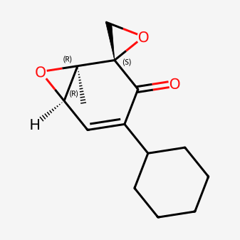 C[C@@]12O[C@@H]1C=C(C1CCCCC1)C(=O)[C@]21CO1